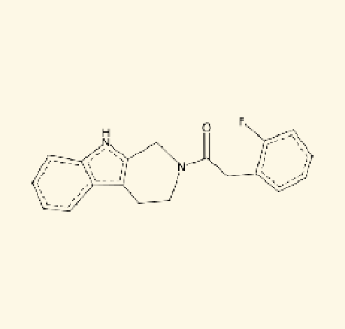 O=C(Cc1ccccc1F)N1CCc2c([nH]c3ccccc23)C1